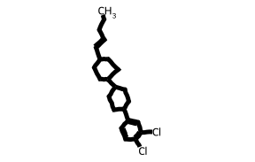 CCCC=CC1CCC(C2CCC(c3ccc(Cl)c(Cl)c3)CC2)CC1